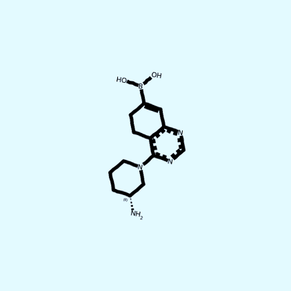 N[C@@H]1CCCN(c2ncnc3c2CCC(B(O)O)=C3)C1